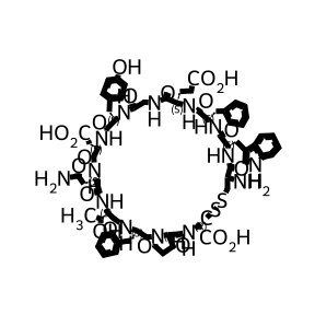 CC(O)[C@@H]1NC(=O)[C@H](CC(N)=O)NC(=O)[C@H](CC(=O)O)NC(=O)[C@H](Cc2ccc(O)cc2)NC(=O)CNC(=O)[C@H](CCC(=O)O)NC(=O)[C@H](Cc2ccccc2)NC(=O)[C@H](Cc2c[nH]c3ccccc23)NC(=O)C(N)CSSC[C@@H](C(=O)O)NC(=O)[C@@H]2CCCN2C(=O)[C@H](Cc2ccccc2)NC1=O